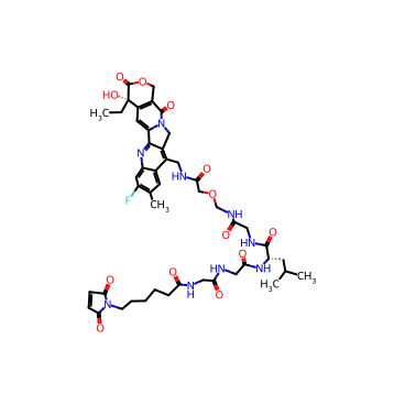 CC[C@@]1(O)C(=O)OCc2c1cc1n(c2=O)Cc2c-1nc1cc(F)c(C)cc1c2CNC(=O)COCNC(=O)CNC(=O)[C@H](CC(C)C)NC(=O)CNC(=O)CNC(=O)CCCCCN1C(=O)C=CC1=O